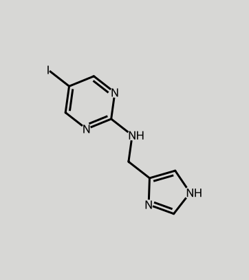 Ic1cnc(NCc2c[nH]cn2)nc1